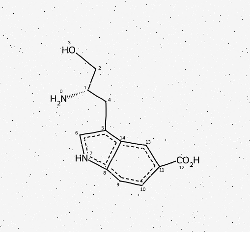 N[C@H](CO)Cc1c[nH]c2ccc(C(=O)O)cc12